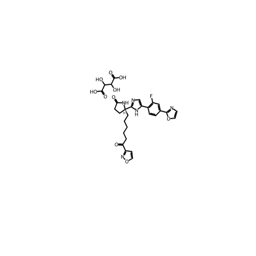 O=C(O)C(O)C(O)C(=O)O.O=C1CC[C@@](CCCCCC(=O)c2ccon2)(c2ncc(-c3ccc(-c4ncco4)cc3F)[nH]2)N1